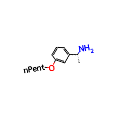 CCCCCOc1cccc([C@@H](C)N)c1